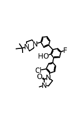 CN1CCN(c2ccc(-c3cc(F)cc(-c4cccc(N5CCN(C(C)(C)C)CC5)c4)c3O)cc2Cl)C1=O